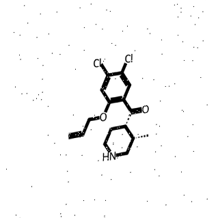 C=CCOc1cc(Cl)c(Cl)cc1C(=O)[C@H]1CCNC[C@H]1C